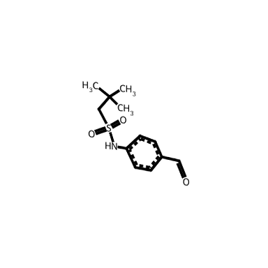 CC(C)(C)CS(=O)(=O)Nc1ccc(C=O)cc1